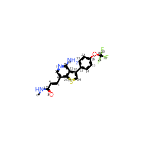 CNC(=O)/C=C/c1cnc(N)c2c(-c3ccc(OC(F)(F)F)cc3)csc12